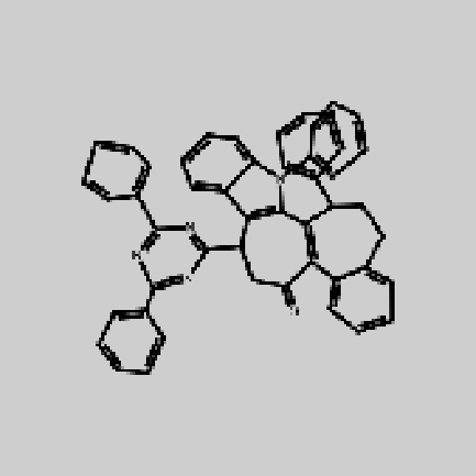 O=C1CC(c2nc(-c3ccccc3)nc(-c3ccccc3)n2)c2c(n(-c3ccccc3)c3ccccc23)C2=C1c1ccccc1CCC2c1ccccc1